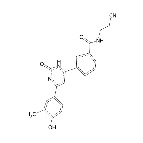 Cc1cc(-c2cc(-c3cccc(C(=O)NCCC#N)c3)[nH]c(=O)n2)ccc1O